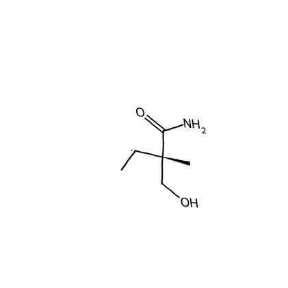 C[CH][C@@](C)(CO)C(N)=O